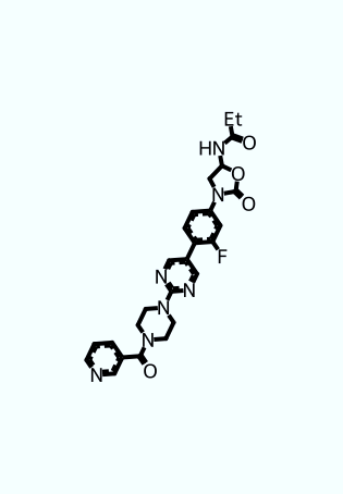 CCC(=O)NC1CN(c2ccc(-c3cnc(N4CCN(C(=O)c5cccnc5)CC4)nc3)c(F)c2)C(=O)O1